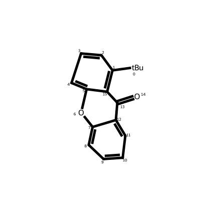 CC(C)(C)c1cccc2oc3ccccc3c(=O)c12